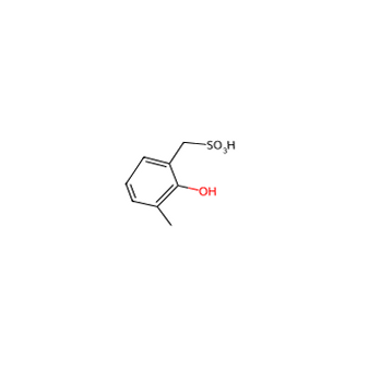 Cc1cccc(CS(=O)(=O)O)c1O